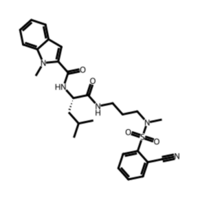 CC(C)C[C@H](NC(=O)c1cc2ccccc2n1C)C(=O)NCCCN(C)S(=O)(=O)c1ccccc1C#N